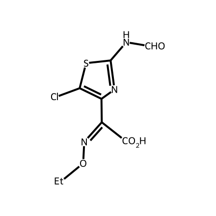 CCO/N=C(\C(=O)O)c1nc(NC=O)sc1Cl